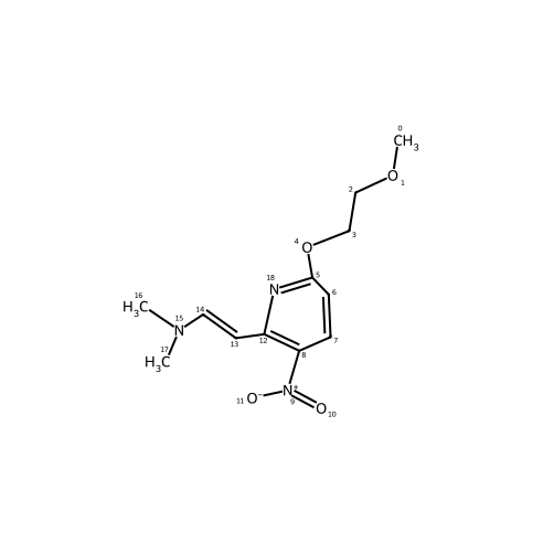 COCCOc1ccc([N+](=O)[O-])c(/C=C/N(C)C)n1